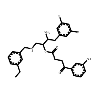 CCc1cccc(CNCC(OC(=O)CCC(=O)c2cccc(O)c2)C(N)Cc2cc(F)cc(F)c2)c1